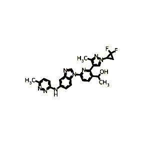 Cc1ccc(Nc2ccc3c(c2)ncn3-c2ccc(C(C)O)c(-c3cn(C4CC4(F)F)nc3C)n2)nn1